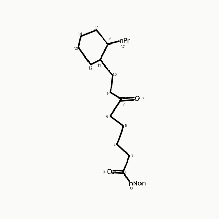 CCCCCCCCCC(=O)CCCCC(=O)CCC1CCCCC1CCC